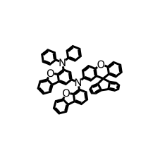 c1ccc(N(c2ccccc2)c2cc(N(c3ccc4c(c3)C3(c5ccccc5O4)c4ccccc4-c4ccccc43)c3cccc4c3oc3ccccc34)cc3c2oc2ccccc23)cc1